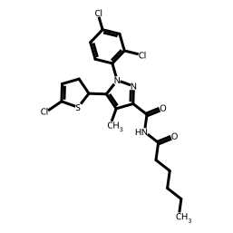 CCCCCC(=O)NC(=O)c1nn(-c2ccc(Cl)cc2Cl)c(C2CC=C(Cl)S2)c1C